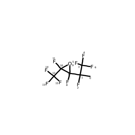 CC(F)(C(F)(F)F)C1(F)OC1(F)C(F)(F)F